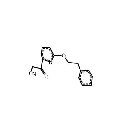 N#CCC(=O)c1cccc(OCCc2ccccc2)n1